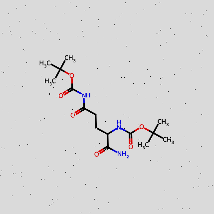 CC(C)(C)OC(=O)NC(=O)CCC(NC(=O)OC(C)(C)C)C(N)=O